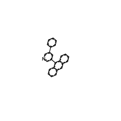 c1ccc(-c2cncc(-c3c4ccccc4cc4ccccc34)c2)cc1